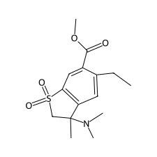 CCc1cc2c(cc1C(=O)OC)S(=O)(=O)CC2(C)N(C)C